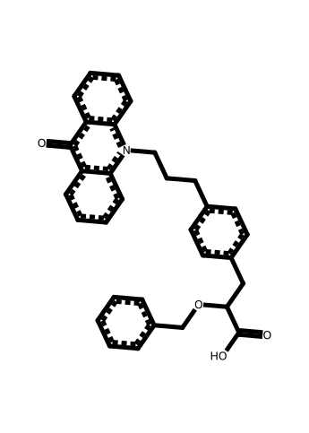 O=C(O)C(Cc1ccc(CCCn2c3ccccc3c(=O)c3ccccc32)cc1)OCc1ccccc1